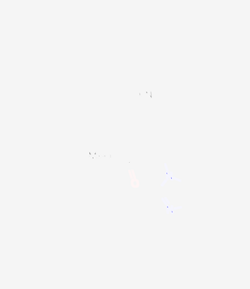 COC(=O)c1cc(C#N)ccc1-n1ccnc1